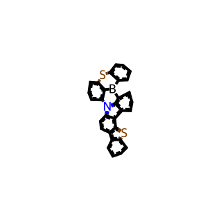 c1ccc2c(c1)Sc1cccc3c1B2c1cccc2c4c5sc6ccccc6c5ccc4n-3c12